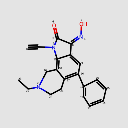 C#CN1C(=O)/C(=N\O)c2cc(-c3ccccc3)c3c(c21)CN(CC)CC3